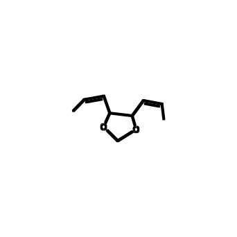 C/C=C\C1OCOC1/C=C\C